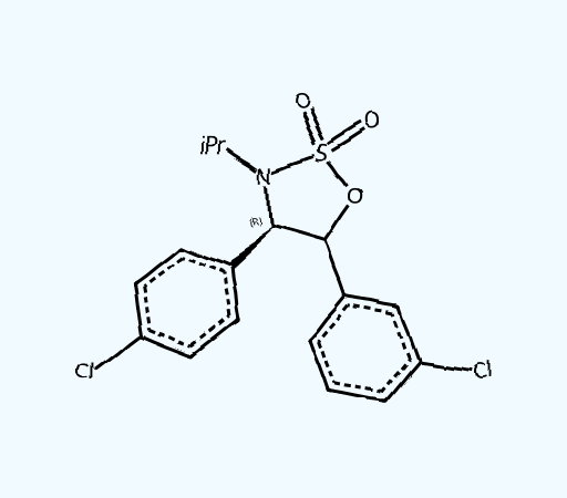 CC(C)N1[C@H](c2ccc(Cl)cc2)C(c2cccc(Cl)c2)OS1(=O)=O